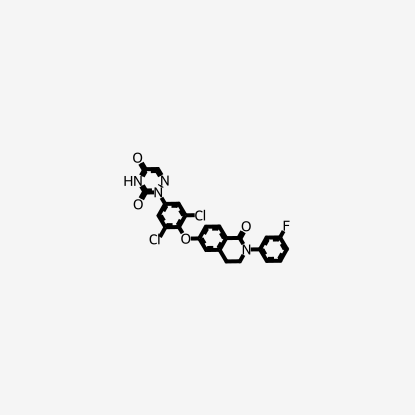 O=C1c2ccc(Oc3c(Cl)cc(-n4ncc(=O)[nH]c4=O)cc3Cl)cc2CCN1c1cccc(F)c1